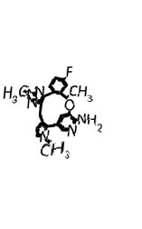 CCn1ccc2c1-c1cnc(N)c(c1)OC(C)c1cc(F)ccc1-c1nn(C)nc1C2